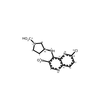 O=C(O)N1CC[C@H](Nc2c([N+](=O)[O-])cnc3ccc(Cl)nc23)C1